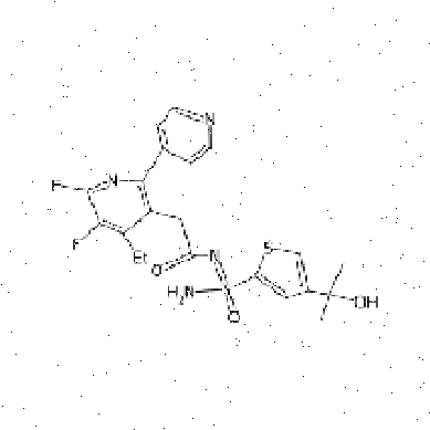 CCc1c(F)c(F)nc(-c2ccncc2)c1CC(=O)N=S(N)(=O)c1cc(C(C)(C)O)cs1